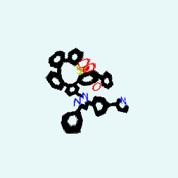 O=S1(=O)c2ccccc2-c2ccccc2-c2ccccc2-c2ccc(-c3nc(-c4ccccc4)cc(-c4ccc(-c5cccnc5)cc4)n3)cc2-c2cc3oc4ccccc4c3cc21